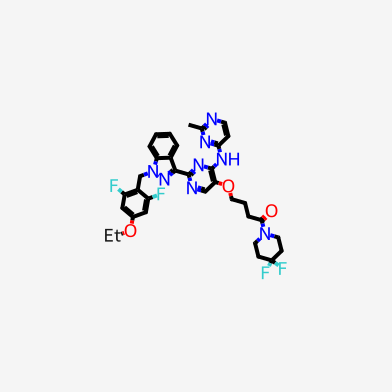 CCOc1cc(F)c(Cn2nc(-c3ncc(OCCCC(=O)N4CCC(F)(F)CC4)c(Nc4ccnc(C)n4)n3)c3ccccc32)c(F)c1